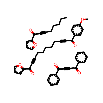 CCCCCC#CC(=O)c1ccco1.COc1ccc(C(=O)C#CCCCCCC#CC(=O)c2ccco2)cc1.O=C(C#CC(=O)c1ccccc1)c1ccccc1